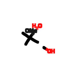 CO.COC(C)(C)C.O